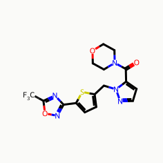 O=C(c1ccnn1Cc1ccc(-c2noc(C(F)(F)F)n2)s1)N1CCOCC1